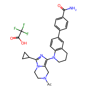 CC(=O)N1CCn2c(C3CC3)nc(N3CCCc4cc(-c5ccc(C(N)=O)cc5)ccc43)c2C1.O=C(O)C(F)(F)F